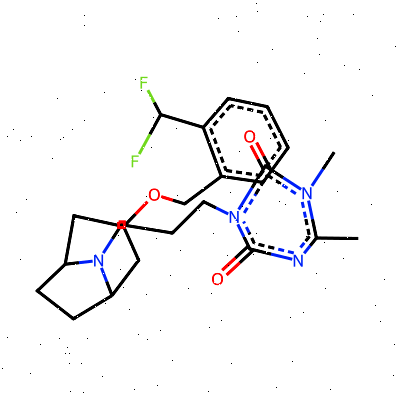 Cc1nc(=O)n(CCCN2C3CCC2CC(OCc2ccccc2C(F)F)C3)c(=O)n1C